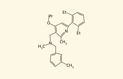 CCc1cccc(CC)c1-c1cc(OC(C)C)c(CN(C)Cc2cccc(C)c2)c(C)n1